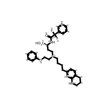 O=C(O)[C@H](CCN(CCCCc1ccc2c(n1)NCCC2)CCOc1ccccc1)NC(=O)C(F)(F)c1cccnc1